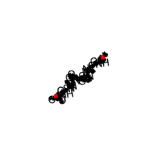 CCn1c(SCC(=O)Nc2ccc(OC)cc2OC)nnc1-c1nc(C2Oc3ccnc(-c4nnc(SCC(=O)Nc5ccc(C(C)C)cc5)n4CC)c3O2)cc2c1OCO2